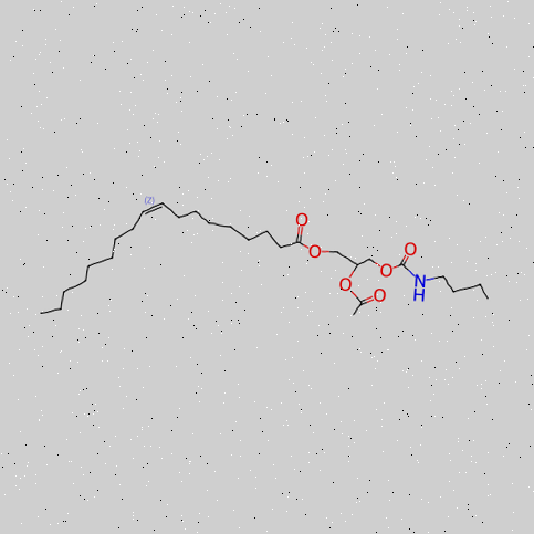 CCCCCCCC/C=C\CCCCCCCC(=O)OCC(COC(=O)NCCCC)OC(C)=O